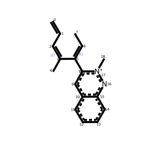 C=C/C=C(C)\C(=C/C)c1cc2ccccc2n[n+]1C